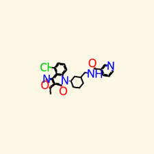 Cc1onc2c1c(=O)n([C@H]1CCCC(CNC(=O)c3cccnc3)C1)c1cccc(Cl)c21